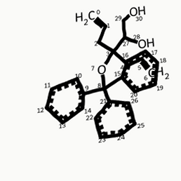 C=CCC(CC=C)(OC(c1ccccc1)(c1ccccc1)c1ccccc1)C(O)CO